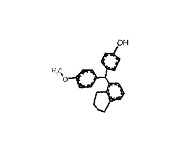 COc1ccc(C(c2ccc(O)cc2)c2cccc3c2CCCC3)cc1